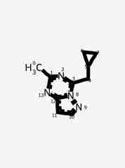 Cc1nc(CC2CC2)n2nccc2n1